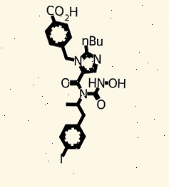 CCCCc1ncc(C(=O)N(C(=O)NO)C(C)Cc2ccc(I)cc2)n1Cc1ccc(C(=O)O)cc1